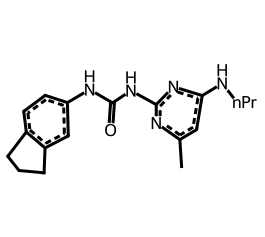 CCCNc1cc(C)nc(NC(=O)Nc2ccc3c(c2)CCC3)n1